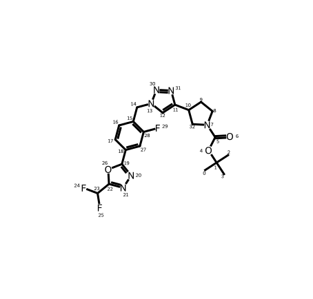 CC(C)(C)OC(=O)N1CCC(c2cn(Cc3ccc(-c4nnc(C(F)F)o4)cc3F)nn2)C1